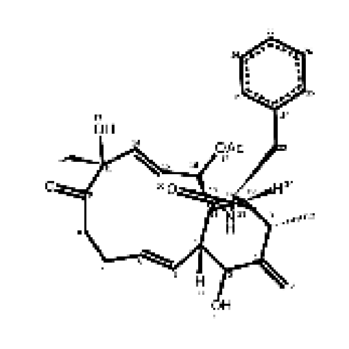 C=C1C(O)[C@@H]2/C=C/CCC(=O)[C@](C)(O)/C=C/C(OC(C)=O)[C@]23C(=O)N[C@@H](Cc2ccccc2)[C@@H]3[C@@H]1C